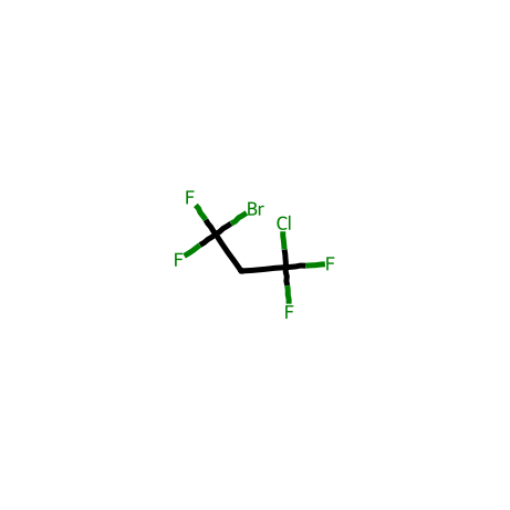 FC(F)(Cl)CC(F)(F)Br